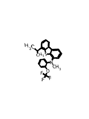 CC(C)c1cccc2c1sc1c(N(C)c3ccccc3OC(F)(F)F)cccc12